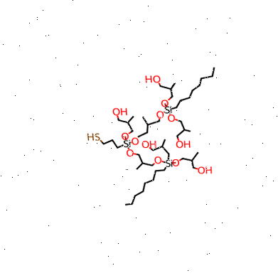 CCCCCCCC[Si](CC(C)CO)(OCC(C)CO)OCC(C)CO[Si](CCCS)(OCCC(C)CO[Si](CCCCCCCC)(OCC(C)CO)OCC(C)CO)OCC(C)CO